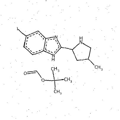 CC(C)(C)OC=O.CC1CNC(c2nc3cc(I)ccc3[nH]2)C1